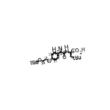 CC(C)(C)CC(NC(=O)C(N)c1ccc(OCCOC(C)(C)C)cc1)C(=O)O